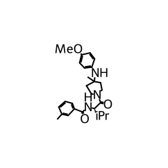 COc1ccc(NC2(C)CCN(C(=O)[C@H](NC(=O)c3cccc(C)c3)C(C)C)CC2)cc1